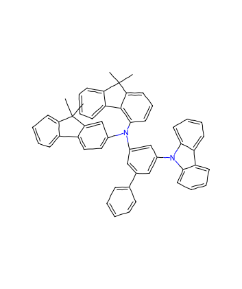 CC1(C)c2ccccc2-c2ccc(N(c3cc(-c4ccccc4)cc(-n4c5ccccc5c5ccccc54)c3)c3cccc4c3-c3ccccc3C4(C)C)cc21